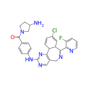 NC1CCN(C(=O)c2ccc(Nc3ncc4c(n3)C3C=CC(Cl)=CC3C(c3ncccc3F)=NC4)cc2)C1